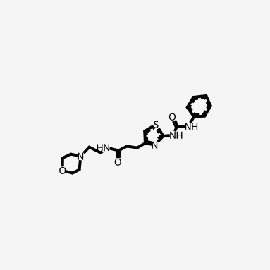 O=C(CCc1csc(NC(=O)Nc2ccccc2)n1)NCCN1CCOCC1